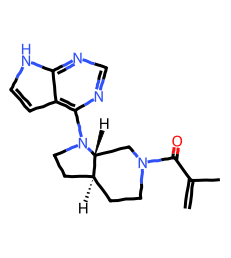 C=C(C)C(=O)N1CC[C@H]2CCN(c3ncnc4[nH]ccc34)[C@@H]2C1